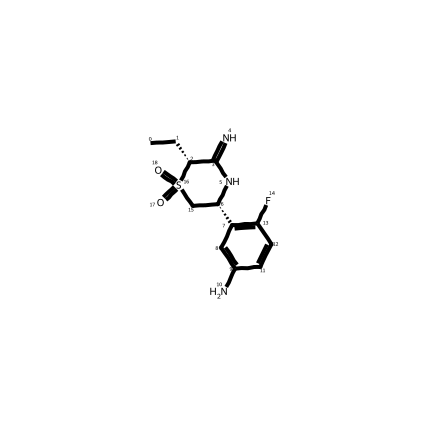 CC[C@@H]1C(=N)N[C@H](c2cc(N)ccc2F)CS1(=O)=O